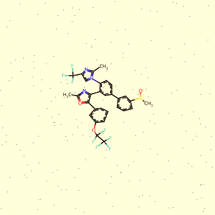 Cc1nc(-c2cc(-c3cccc([S+](C)[O-])c3)ccc2-n2cc(C(F)(F)F)nc2C)c(-c2cccc(OC(F)(F)C(F)(F)F)c2)o1